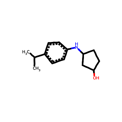 CC(C)c1ccc(NC2CCC(O)C2)cc1